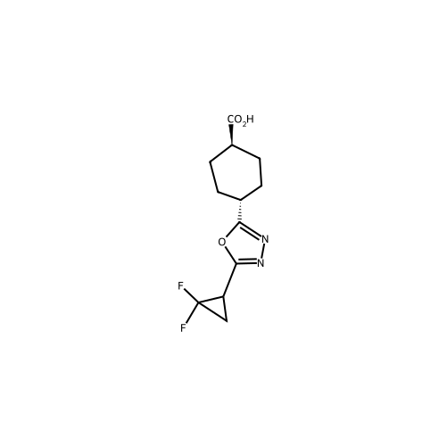 O=C(O)[C@H]1CC[C@H](c2nnc(C3CC3(F)F)o2)CC1